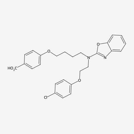 O=C(O)c1ccc(OCCCCN(CCOc2ccc(Cl)cc2)c2nc3ccccc3o2)cc1